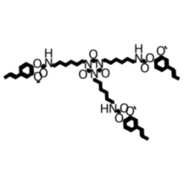 CC=Cc1ccc(OC(=O)NCCCCCCn2c(=O)n(CCCCCCNC(=O)Oc3ccc(C=CC)cc3OC)c(=O)n(CCCCCCNC(=O)Oc3ccc(C=CC)cc3OC)c2=O)c(OC)c1